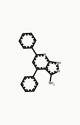 Nc1n[nH]c2nc(-c3ccccc3)cc(-c3ccccc3)c12